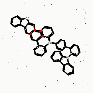 c1ccc(-c2ccccc2N(c2ccc(-c3ccccc3-n3c4ccccc4c4ccccc43)cc2)c2cccc(-c3ccc4c(c3)oc3ccccc34)c2)cc1